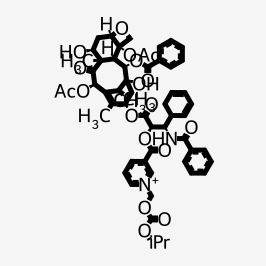 CC(=O)O[C@H]1C(=O)[C@@]2(C)[C@H]([C@H](OC(=O)c3ccccc3)[C@]3(O)C[C@H](OC(=O)[C@H](OC(=O)c4ccc[n+](COC(=O)OC(C)C)c4)[C@@H](NC(=O)c4ccccc4)C4C=CC=CC4)C(C)=C1C3(C)C)[C@]1(OC(C)=O)CO[C@@H]1C[C@@H]2O